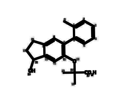 Cc1ccccc1-c1cc2c(cc1OC(C)(C)C(=O)O)C(O)CC2